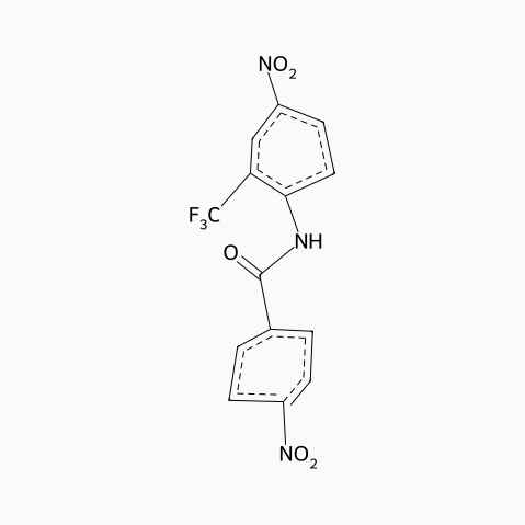 O=C(Nc1ccc([N+](=O)[O-])cc1C(F)(F)F)c1ccc([N+](=O)[O-])cc1